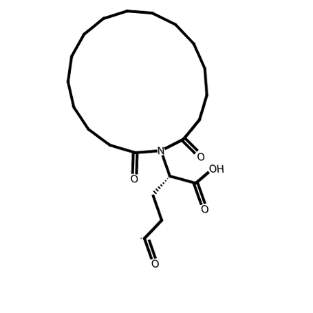 O=[C]CC[C@@H](C(=O)O)N1C(=O)CCCCCCCCCCCCCCC1=O